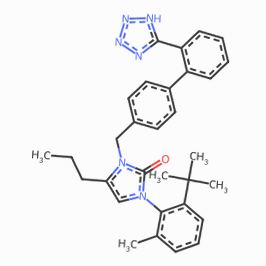 CCCc1cn(-c2c(C)cccc2C(C)(C)C)c(=O)n1Cc1ccc(-c2ccccc2-c2nnn[nH]2)cc1